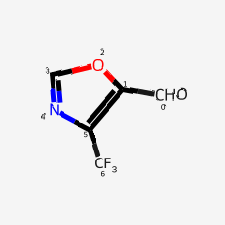 O=Cc1ocnc1C(F)(F)F